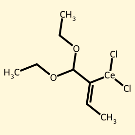 C/C=[C](/C(OCC)OCC)[Ce]([Cl])[Cl]